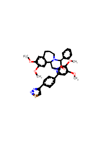 COc1ccc(CC2c3cc(OC)c(OC)cc3CCCN2C(C(=O)NCc2ccc(-c3csnn3)cc2)c2ccccc2)cc1OC